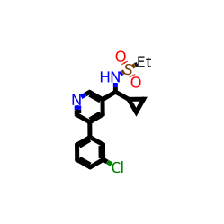 CCS(=O)(=O)NC(c1cncc(-c2cccc(Cl)c2)c1)C1CC1